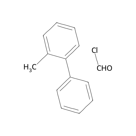 Cc1ccccc1-c1ccccc1.O=CCl